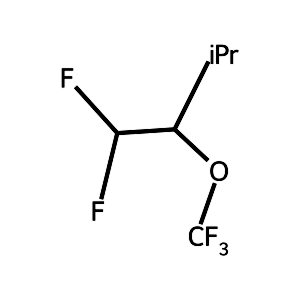 CC(C)C(OC(F)(F)F)C(F)F